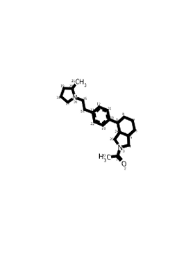 CC(=O)N1CC2CCCC(c3ccc(CCN4CCCC4C)cc3)C2C1